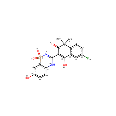 CCCC1(CCC)C(=O)C(C2=NS(=O)(=O)c3cc(O)ccc3N2)=C(O)c2cc(F)ccc21